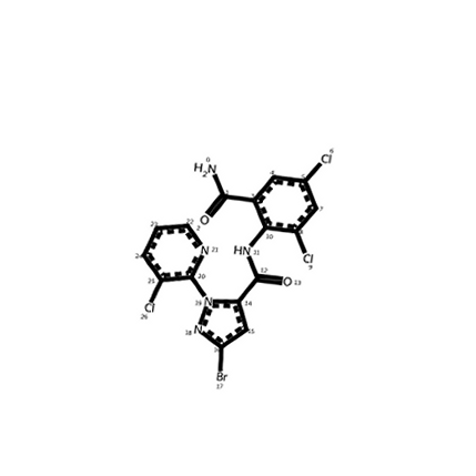 NC(=O)c1cc(Cl)cc(Cl)c1NC(=O)c1cc(Br)nn1-c1ncccc1Cl